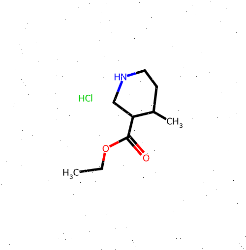 CCOC(=O)C1CNCCC1C.Cl